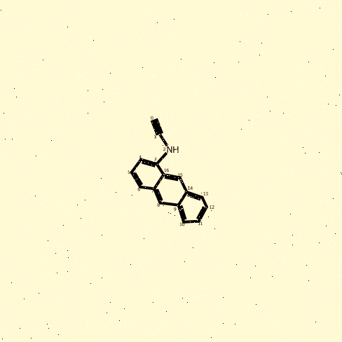 C#CNc1cccc2cc3ccccc3cc12